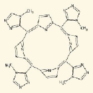 Cn1cnnc1C1=C2C=CC(=N2)C(c2nncn2C)=C2C=CC(=N2)C(c2nncn2C)=C2C=CC(=N2)C(c2nncn2C)=C2C=CC1=N2